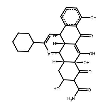 NC(=O)C1C(=O)[C@@]2(O)C(O)=C3C(=O)c4c(O)cccc4[C@@H]4C=C(C5CCCCC5)O[C@@H]([C@@H]34)[C@H]2CC1O